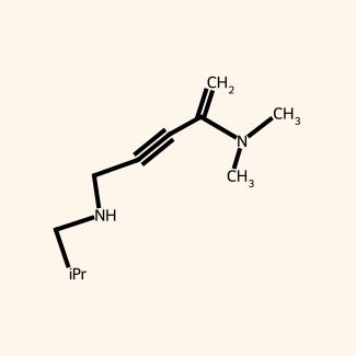 C=C(C#CCNCC(C)C)N(C)C